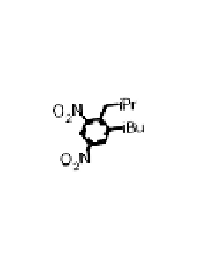 CCC(C)c1cc([N+](=O)[O-])cc([N+](=O)[O-])c1CC(C)C